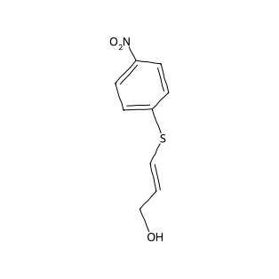 O=[N+]([O-])c1ccc(SC=CCO)cc1